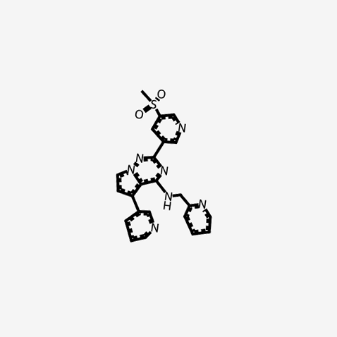 CS(=O)(=O)c1cncc(-c2nc(NCc3ccccn3)c3c(-c4cccnc4)ccn3n2)c1